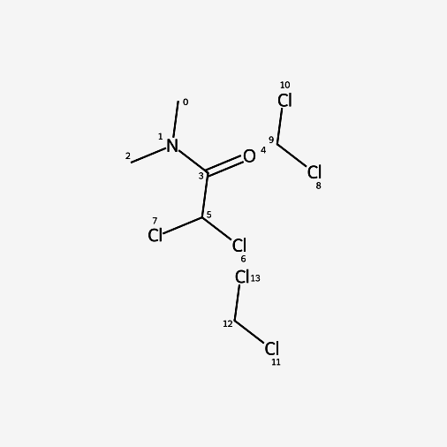 CN(C)C(=O)C(Cl)Cl.ClCCl.ClCCl